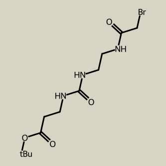 CC(C)(C)OC(=O)CCNC(=O)NCCNC(=O)CBr